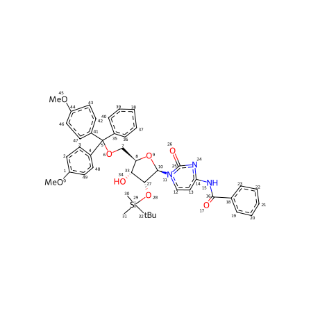 COc1ccc(C(OC[C@H]2O[C@@H](n3ccc(NC(=O)c4ccccc4)nc3=O)[C@H](O[Si](C)(C)C(C)(C)C)[C@@H]2O)(c2ccccc2)c2ccc(OC)cc2)cc1